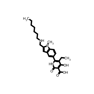 CCCCCCCNCc1cc2cc(-c3[nH]c(=O)c(C(=O)O)c(O)c3CC)ccc2n1C